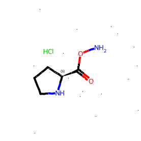 Cl.NOC(=O)[C@@H]1CCCN1